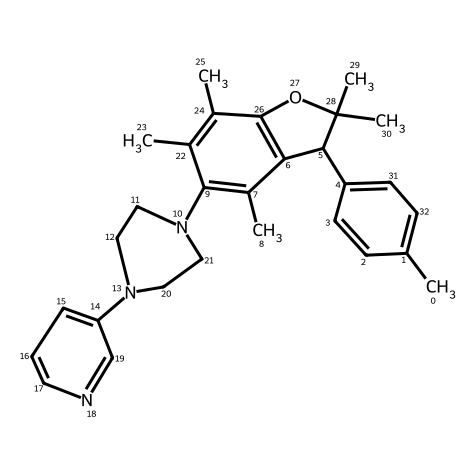 Cc1ccc(C2c3c(C)c(N4CCN(c5cccnc5)CC4)c(C)c(C)c3OC2(C)C)cc1